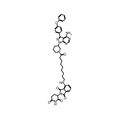 Nc1ncnc2c1c(-c1ccc(Oc3ccccc3)cc1)nn2C1CCCN(C(=O)CCCCCCCCNc2cccc3c2C(=O)N(C2CCC(=O)NC2=O)C3=O)C1